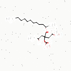 CCCCCCCCCCC(C)OC(=O)C(CC(=O)O)(CC(C)O)CC(C)O